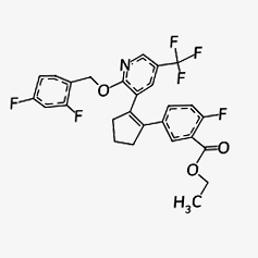 CCOC(=O)c1cc(C2=C(c3cc(C(F)(F)F)cnc3OCc3ccc(F)cc3F)CCC2)ccc1F